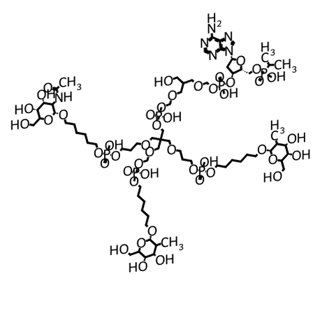 CC(=O)NC1[C@H](OCCCCCCOP(=O)(O)OCCCOCC(COCCCOP(=O)(O)OCCCCCCO[C@@H]2OC(CO)[C@H](O)[C@H](O)C2C)(COCOP(=O)(O)OCCCCCCO[C@@H]2OC(CO)[C@H](O)[C@H](O)C2C)COP(=O)(O)OCOCC(CO)COCOP(=O)(O)O[C@H]2C[C@H](n3cnc4c(N)ncnc43)O[C@@H]2COP(=O)(O)C(C)C)OC(CO)[C@H](O)[C@@H]1O